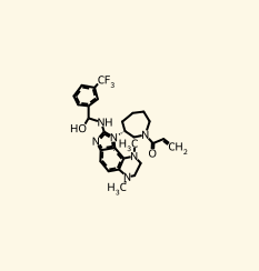 C=CC(=O)N1CCCC[C@@H](n2c(NC(O)c3cccc(C(F)(F)F)c3)nc3ccc4c(c32)N(C)CCN4C)C1